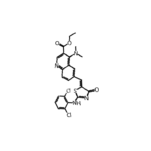 CCOC(=O)c1cnc2ccc(/C=C3\SC(Nc4c(Cl)cccc4Cl)=NC3=O)cc2c1N(C)C